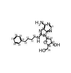 Nc1ncnc2c1nc(NCCCCc1ccccc1)n2[C@H]1C[C@H](O)[C@@H](CO)O1